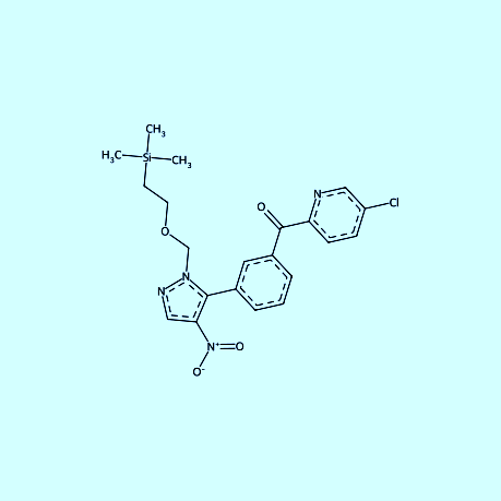 C[Si](C)(C)CCOCn1ncc([N+](=O)[O-])c1-c1cccc(C(=O)c2ccc(Cl)cn2)c1